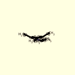 C=CC(=O)OCCCCCCOc1ccc(C(=O)Oc2ccc(OC(=O)c3ccc(OCCCCCCOC(=O)C=C)cc3)c(OC(=O)C(=C)C)c2/C=N/Nc2nc3ccc(OC(=O)C(=C)C)cc3s2)cc1